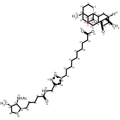 C=C1C(=O)[C@]23CC[C@H]1CC2[C@@]12CCC[C@@](C)(COC1=O)C2C[C@H]3OC(=O)CCCCCCCCCn1cc(CNC(=O)CCCC[C@H]2SC[C@@H](C)[C@H]2NC(C)=O)nn1